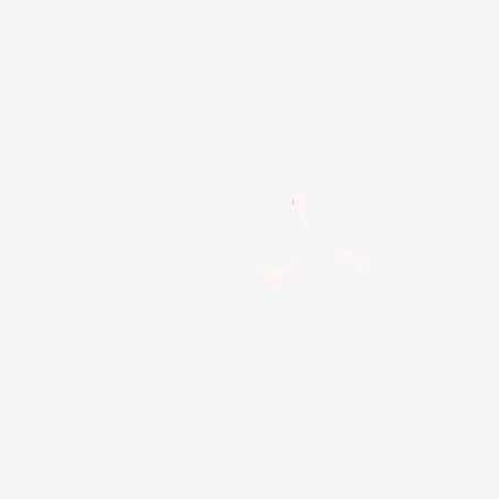 C=CCC1OC(=O)OC1C